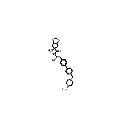 CN1CCN(Cc2ccc(-c3ccc(C[C@@H](C#N)NC(=O)C4(N)CC5OCOC5C4)cc3)cc2)CC1